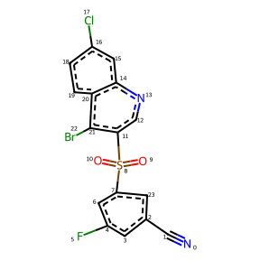 N#Cc1cc(F)cc(S(=O)(=O)c2cnc3cc(Cl)ccc3c2Br)c1